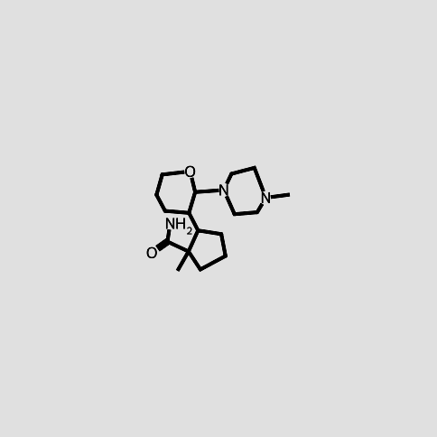 CN1CCN(C2OCCCC2C2CCCC2(C)C(N)=O)CC1